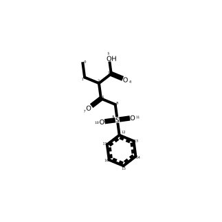 CCC(C(=O)O)C(=O)CS(=O)(=O)c1ccccc1